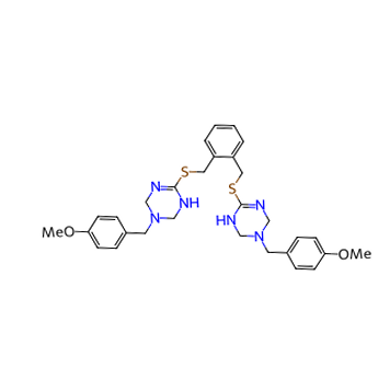 COc1ccc(CN2CN=C(SCc3ccccc3CSC3=NCN(Cc4ccc(OC)cc4)CN3)NC2)cc1